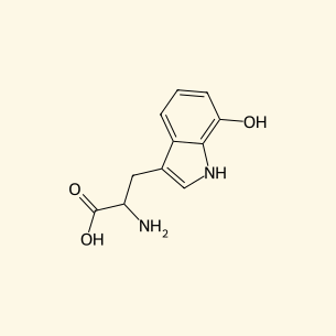 NC(Cc1c[nH]c2c(O)cccc12)C(=O)O